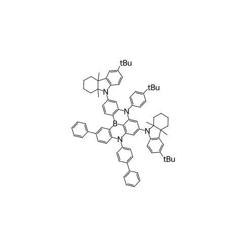 CC(C)(C)c1ccc(N2c3cc(N4c5ccc(C(C)(C)C)cc5C5(C)CCCCC45C)ccc3B3c4cc(-c5ccccc5)ccc4N(c4ccc(-c5ccccc5)cc4)c4cc(N5c6ccc(C(C)(C)C)cc6C6(C)CCCCC56C)cc2c43)cc1